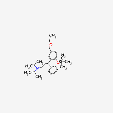 CCOCc1ccc(O[Si](C)(C)C)c(C(CCN(C(C)C)C(C)C)c2ccccc2)c1